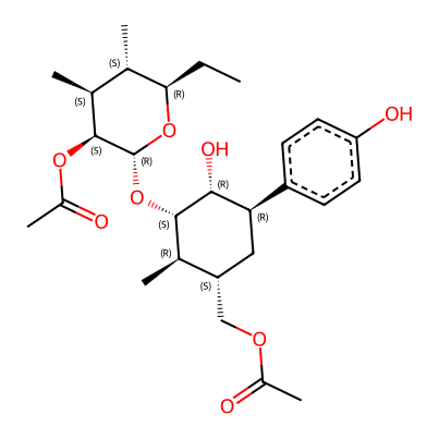 CC[C@H]1O[C@H](O[C@H]2[C@H](C)[C@@H](COC(C)=O)C[C@H](c3ccc(O)cc3)[C@H]2O)[C@@H](OC(C)=O)[C@@H](C)[C@@H]1C